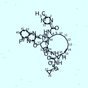 Cc1cnc(C(=O)N[C@H]2CCCCC/C=C\[C@@H]3C[C@@]3(C(=O)NS(=O)(=O)C3CC3)NC(=O)[C@@H]3C[C@@H](Oc4nc5c(F)cccc5nc4C)CN3C2=O)cn1